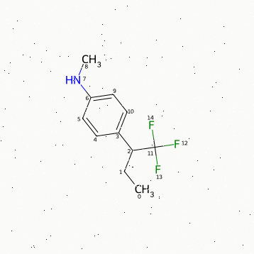 CCC(c1ccc(NC)cc1)C(F)(F)F